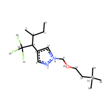 CCC(C)C(c1cnn(COCC[Si](C)(C)C)c1)C(F)(F)F